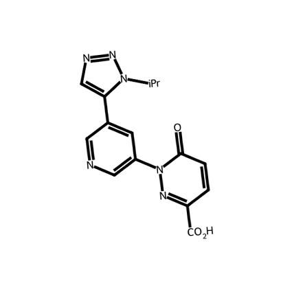 CC(C)n1nncc1-c1cncc(-n2nc(C(=O)O)ccc2=O)c1